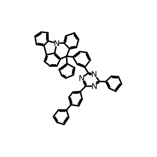 c1ccc(-c2ccc(-c3nc(-c4ccccc4)nc(-c4cccc(C5(c6ccccc6)c6ccccc6-n6c7ccccc7c7cccc5c76)c4)n3)cc2)cc1